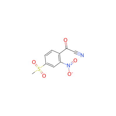 CS(=O)(=O)c1ccc(C(=O)C#N)c([N+](=O)[O-])c1